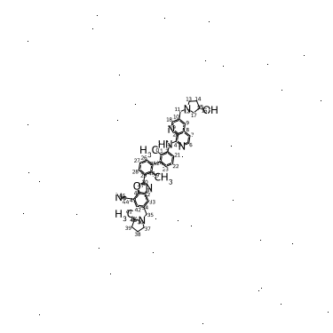 Cc1c(Nc2nccc3cc(CN4CC[C@H](O)C4)cnc23)cccc1-c1cccc(-c2nc3cc(CN4CCC[C@H]4C)cc(C#N)c3o2)c1C